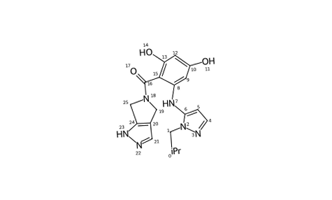 CC(C)Cn1nccc1Nc1cc(O)cc(O)c1C(=O)N1Cc2cn[nH]c2C1